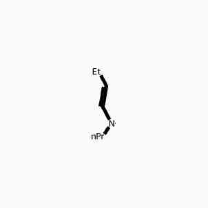 CCC=C[N]CCC